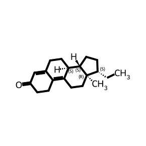 CC[C@H]1CC[C@H]2[C@@H]3CCC4=CC(=O)CCC4=C3CC[C@]12C